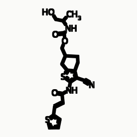 CC(CO)NC(=O)OCC1CCc2c(sc(NC(=O)C=Cc3cccs3)c2C#N)C1